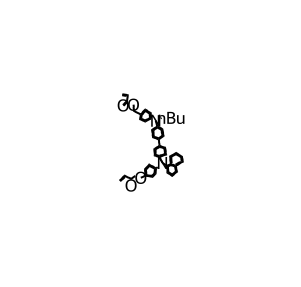 C=CC(=O)COc1ccc(N(c2ccc(-c3ccc(N(CCCC)c4ccc(COC(=O)C=C)cc4)cc3)cc2)c2cccc3ccccc23)cc1